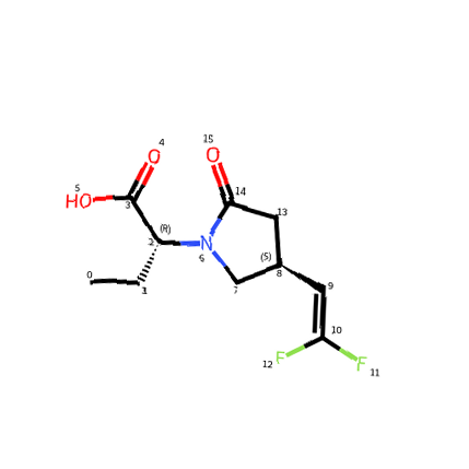 CC[C@H](C(=O)O)N1C[C@H](C=C(F)F)CC1=O